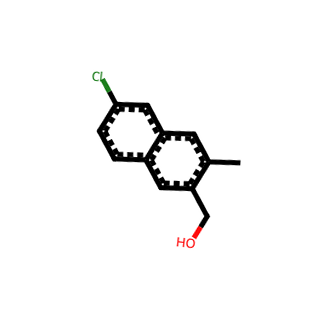 Cc1cc2cc(Cl)ccc2cc1CO